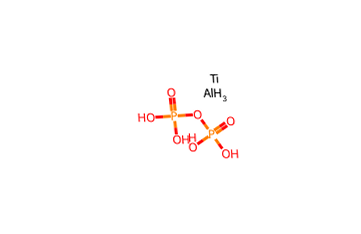 O=P(O)(O)OP(=O)(O)O.[AlH3].[Ti]